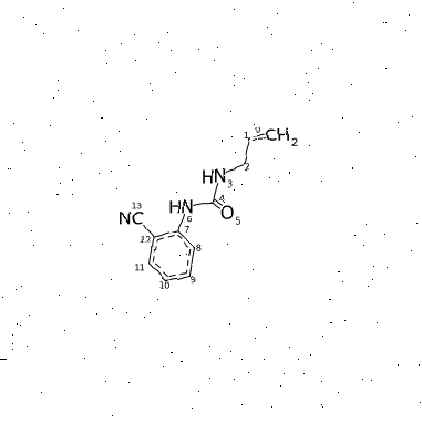 C=CCNC(=O)Nc1ccccc1C#N